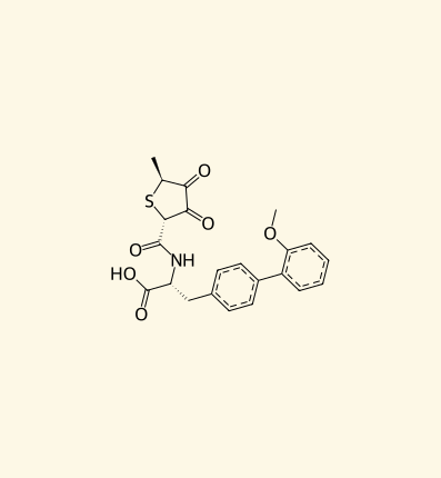 COc1ccccc1-c1ccc(C[C@@H](NC(=O)[C@@H]2S[C@@H](C)C(=O)C2=O)C(=O)O)cc1